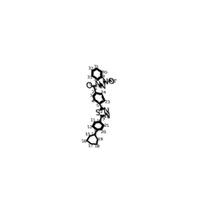 O=C(c1ccc(-c2nnc(-c3ccc(C4CCCCC4)cc3)s2)cc1)n1n[n+]([O-])c2ccccc21